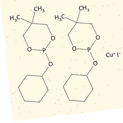 CC1(C)COP(OC2CCCCC2)OC1.CC1(C)COP(OC2CCCCC2)OC1.[Cu+].[I-]